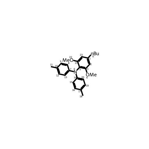 CCCCc1cc(OC)c(N(c2ccc(C)cc2)c2ccc(C)cc2)c(OC)c1